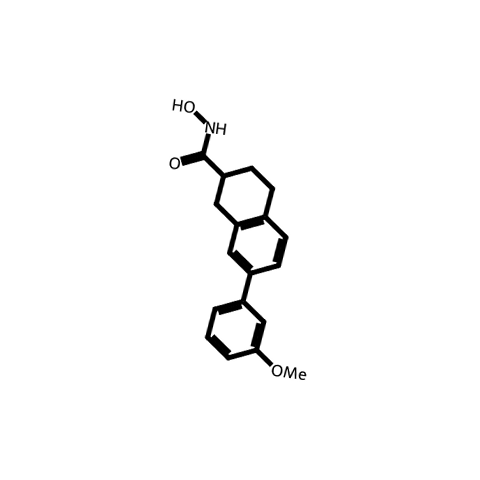 COc1cccc(-c2ccc3c(c2)CC(C(=O)NO)CC3)c1